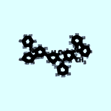 Cc1cc(-n2c3ccccc3c3ccccc32)c(C)cc1N(c1ccccc1)c1ccc(-c2ccc3c(c2)c2ccccc2n3-c2ccccc2)cc1